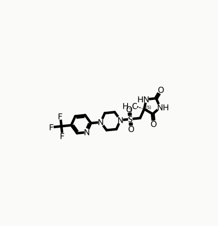 C[C@]1(CS(=O)(=O)N2CCN(c3ccc(C(F)(F)F)cn3)CC2)NC(=O)NC1=O